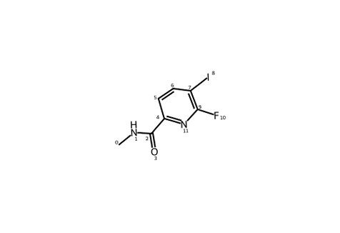 CNC(=O)c1ccc(I)c(F)n1